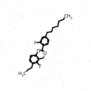 CCCCCCCc1ccc(C(=O)Oc2ccc(CCC)c(F)c2F)c(F)c1